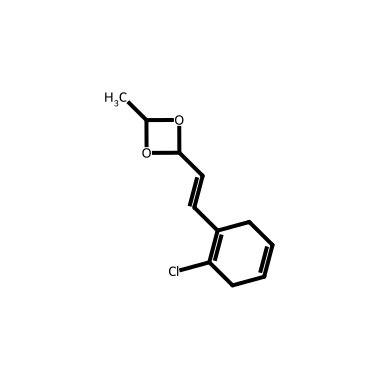 CC1OC(/C=C/C2=C(Cl)CC=CC2)O1